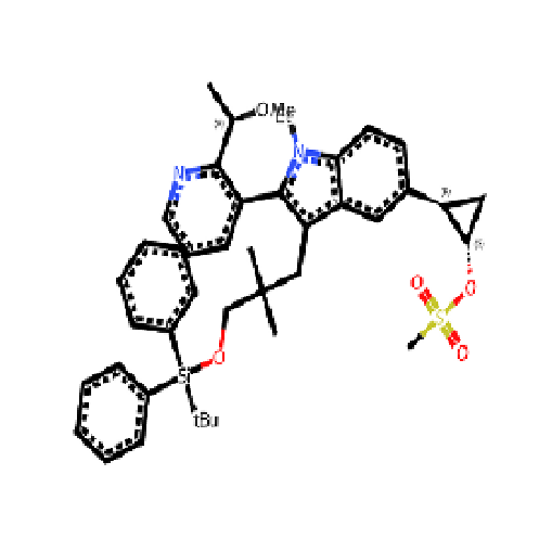 CCn1c(-c2cccnc2[C@@H](C)OC)c(CC(C)(C)CO[Si](c2ccccc2)(c2ccccc2)C(C)(C)C)c2cc([C@H]3C[C@@H]3OS(C)(=O)=O)ccc21